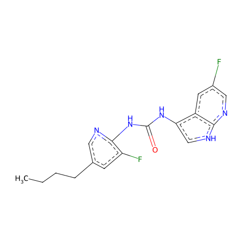 CCCCc1cnc(NC(=O)Nc2c[nH]c3ncc(F)cc23)c(F)c1